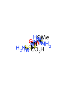 CON=C(C(=O)NC1C(=O)N2CC(CSc3nnc(N)s3)(C(=O)O)CS[C@H]12)c1nsc(N)n1